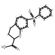 NC(=O)C1CCc2ccc(S(=O)(=O)c3ccccc3)cc2O1